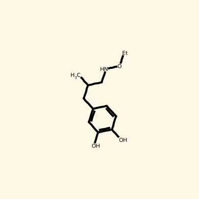 CCONCC(C)Cc1ccc(O)c(O)c1